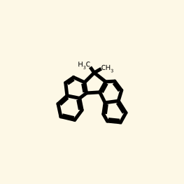 CC1(C)c2ccc3ccccc3c2-c2c1ccc1ccccc21